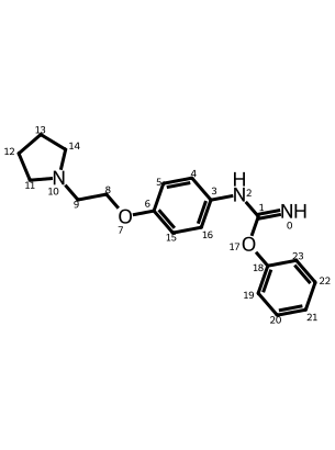 N=C(Nc1ccc(OCCN2CCCC2)cc1)Oc1ccccc1